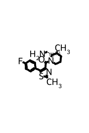 Cc1nc(C(=O)N2CCC[C@H](C)[C@H]2CN)c(-c2ccc(F)cc2)s1